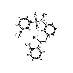 CCN(Cc1cccc(N(CC)S(=O)(=O)c2cccc(C(F)(F)F)c2)c1)c1ccccc1Cl